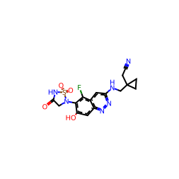 N#CCC1(CNc2cc3c(F)c(N4CC(=O)NS4(=O)=O)c(O)cc3nn2)CC1